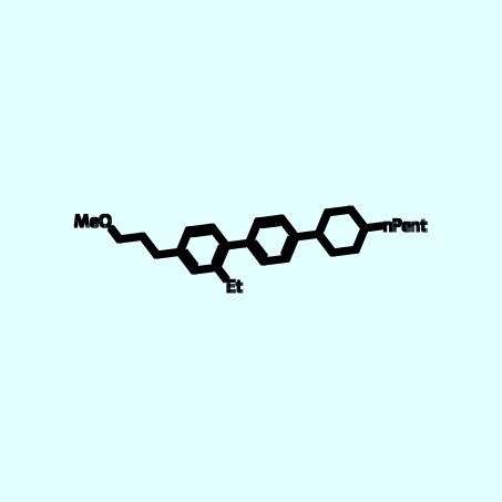 CCCCCC1CCC(c2ccc(-c3ccc(CCCOC)cc3CC)cc2)CC1